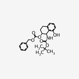 CC(C)(C)OC(=O)NC1c2c(O)cccc2CC[C@@H]1OC(=O)OCc1ccccc1